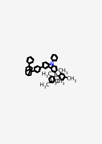 Cc1cc(C)c(B(c2ccc3c(c2)c2cc(-c4ccc(C56CC7CC(CC(c8ccccc8)(C7)C5)C6)cc4)ccc2n3-c2ccccc2)c2c(C)cc(C)cc2C)c(C)c1